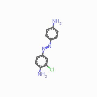 Nc1ccc(N=Nc2ccc(N)c(Cl)c2)cc1